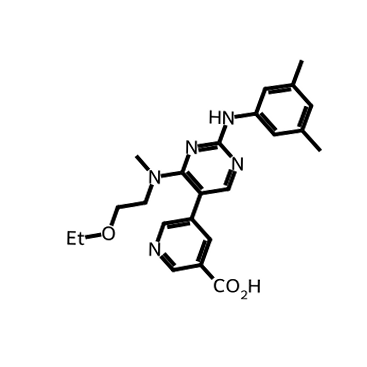 CCOCCN(C)c1nc(Nc2cc(C)cc(C)c2)ncc1-c1cncc(C(=O)O)c1